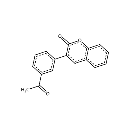 CC(=O)c1cccc(-c2cc3ccccc3oc2=O)c1